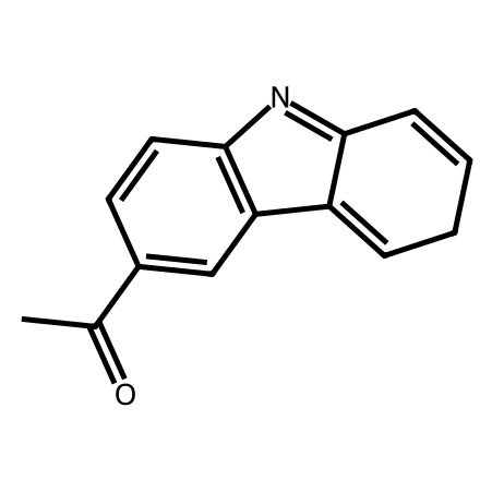 CC(=O)c1ccc2c(c1)C1=CCC=CC1=N2